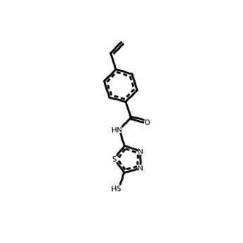 C=Cc1ccc(C(=O)Nc2nnc(S)s2)cc1